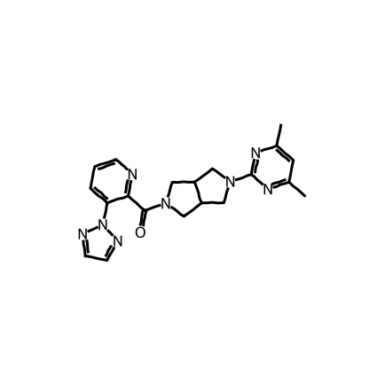 Cc1cc(C)nc(N2CC3CN(C(=O)c4ncccc4-n4nccn4)CC3C2)n1